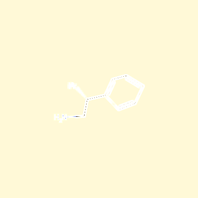 CC(C)[C@@H](CN)c1ccccc1